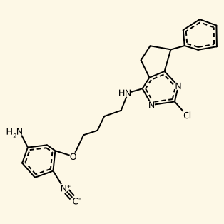 [C-]#[N+]c1ccc(N)cc1OCCCCNc1nc(Cl)nc2c1CCC2c1ccccc1